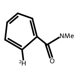 [2H]c1ccccc1C(=O)NC